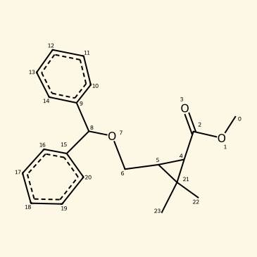 COC(=O)C1C(COC(c2ccccc2)c2ccccc2)C1(C)C